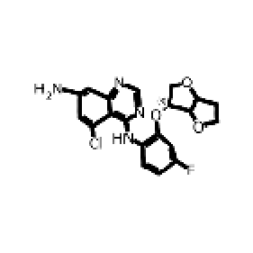 Nc1cc(Cl)c2c(Nc3ccc(F)cc3O[C@@H]3COC4CCOC43)ncnc2c1